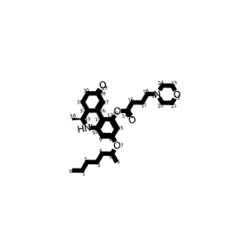 CCCCCC(C)Oc1cc2c(c(OC(=O)CCCN3CCOCC3)c1)C1=CC(=O)CCC1[C@H](C)N2